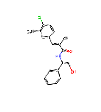 N#C/C(=C\c1ccc(Cl)c([N+](=O)[O-])c1)C(=O)N[C@@H](CO)c1ccccc1